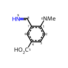 CNc1ccc(C(=O)O)cc1C=N